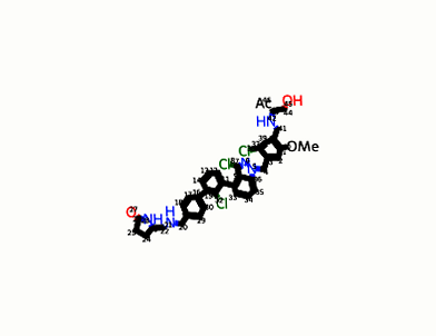 COc1cc(Cn2nc(Cl)c3c(-c4cccc(-c5ccc(CNCC6CCC(=O)N6)cc5)c4Cl)cccc32)c(Cl)cc1CNC(CO)C(C)=O